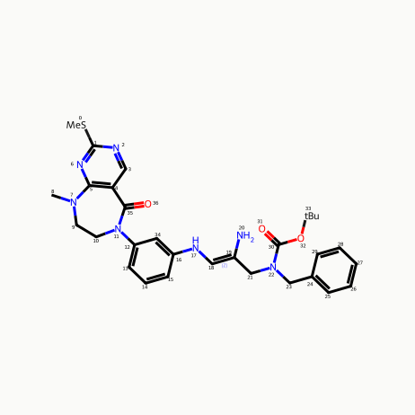 CSc1ncc2c(n1)N(C)CCN(c1cccc(N/C=C(\N)CN(Cc3ccccc3)C(=O)OC(C)(C)C)c1)C2=O